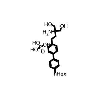 CCCCCCc1ccc(-c2ccc(CCC(N)(CO)CO)cc2)cc1.O=P(O)(O)O